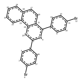 Brc1ccc(-c2nc(-c3ccc(Br)cc3)c3ccc4ccccc4c3n2)cc1